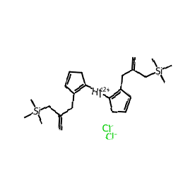 C=C(CC1=[C]([Hf+2][C]2=C(CC(=C)C[Si](C)(C)C)C=CC2)CC=C1)C[Si](C)(C)C.[Cl-].[Cl-]